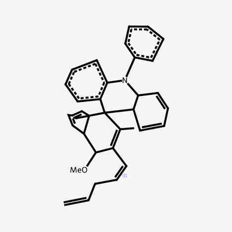 C=CC/C=C\C1=C(C)C2(c3ccccc3N(c3ccccc3)C3C=CC=CC32)C2(C)C=CC=CC2C1OC